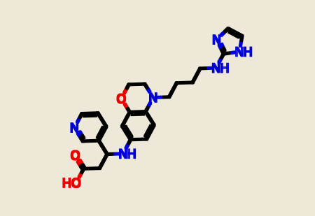 O=C(O)CC(Nc1ccc2c(c1)OCCN2CCCCNc1ncc[nH]1)c1cccnc1